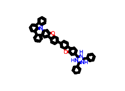 C1=CC(C2NC(c3ccccc3)NC(c3ccc4c(c3)oc3cc(-c5ccc6c(c5)oc5cc(-n7c8ccccc8c8cccc(-c9ccccc9)c87)ccc56)ccc34)N2)=CCC1